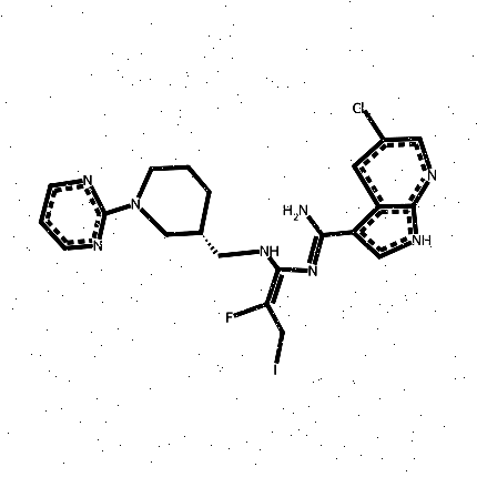 N/C(=N\C(NC[C@H]1CCCN(c2ncccn2)C1)=C(\F)CI)c1c[nH]c2ncc(Cl)cc12